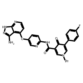 CC(C)n1cc(C(=O)Nc2ccc(Oc3ccnc4[nH]nc(N)c34)cn2)c(=O)c(-c2ccc(F)cc2)c1